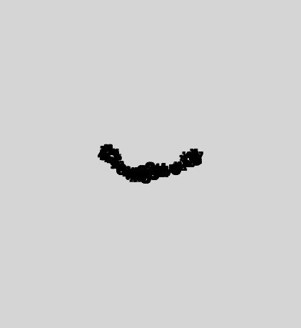 O=C(O[C@@H]1CCN(CCOCCc2ccc3ccsc3c2)C1)C(=O)O[C@@H]1CCN(CCOCCc2ccc3ccsc3c2)C1